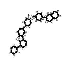 c1ccc(-c2cccc3c2oc2ccc(-c4ccc(Nc5ccc(-c6ccc7ccccc7c6)cc5)cc4)cc23)cc1